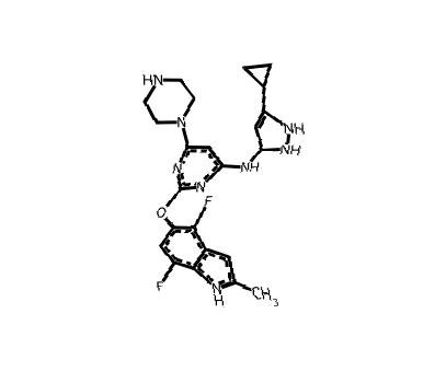 Cc1cc2c(F)c(Oc3nc(NC4C=C(C5CC5)NN4)cc(N4CCNCC4)n3)cc(F)c2[nH]1